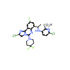 CC(Nc1ccc(Cl)nc1C(=O)O)c1cc(F)cc2c1nc(N1CCC(F)(F)CC1)n1cc(Cl)nc21